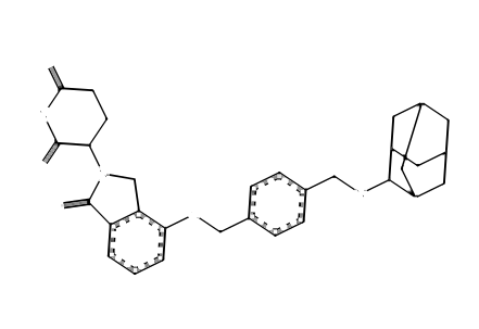 O=C1CCC(N2Cc3c(SCc4ccc(CNC5C6CC7CC(C6)CC5C7)cc4)cccc3C2=O)C(=O)N1